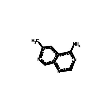 Cc1cc2c(N)ncnc2cn1